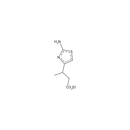 CCOC(=O)CC(C)c1csc(N)n1